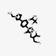 CCn1cc(-c2ccc(-n3nnn(CC(CN)=C(F)F)c3=O)cc2)cn1.O=C(O)C(F)(F)F